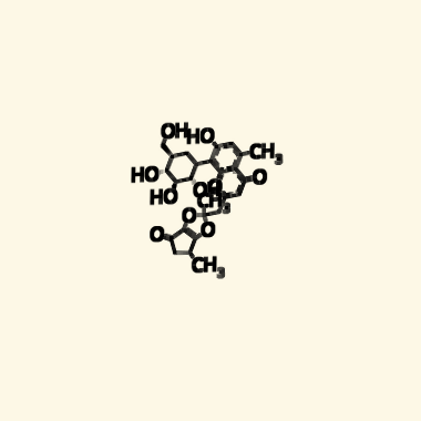 Cc1cc(O)c(C2C[C@H](CO)[C@@H](O)[C@H](O)[C@H]2O)c2oc(CC3(C)OC4=C(O3)C(C)CC4=O)cc(=O)c12